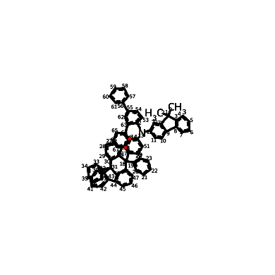 CC1(C)c2ccccc2-c2ccc(N(c3ccc(C4(c5ccccc5)c5ccccc5C5(c6ccccc6)c6ccccc6-c6cccc4c65)cc3)c3ccc(-c4ccccc4)cc3-c3ccccc3)cc21